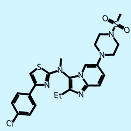 CCc1nc2ccc(N3CCN(S(C)(=O)=O)CC3)cn2c1N(C)c1nc(-c2ccc(Cl)cc2)cs1